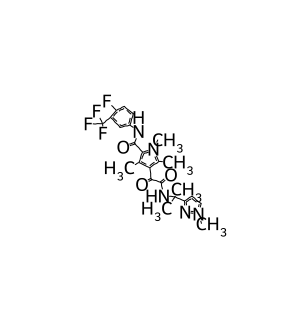 Cc1c(C(=O)C(=O)NC(C)(C)c2ccn(C)n2)c(C)n(C)c1C(=O)Nc1ccc(F)c(C(F)(F)F)c1